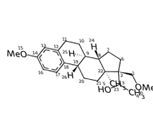 COC[C@]1(C(C)O)CC[C@H]2[C@@H]3CCc4cc(OC)ccc4[C@H]3CC[C@@]21C